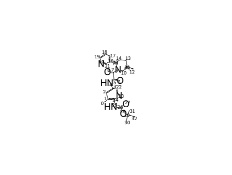 Cc1cc(NC(=O)C(=O)N2C[C@H](C)CC[C@H]2c2cccnc2)cnc1NC(=O)OC(C)(C)C